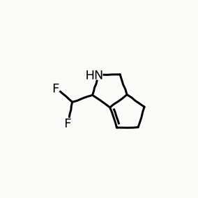 FC(F)C1NCC2CCC=C21